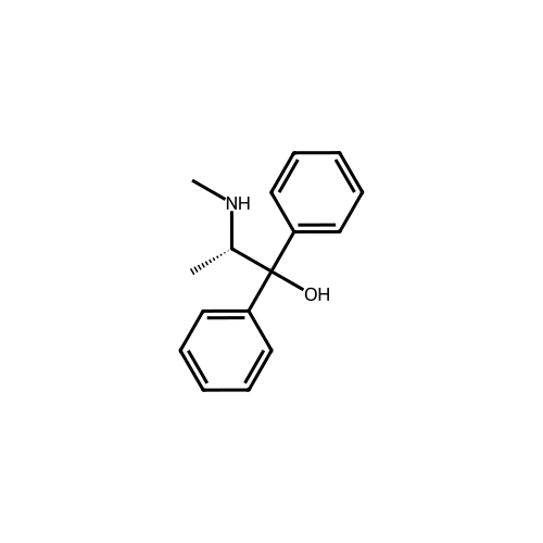 CN[C@@H](C)C(O)(c1ccccc1)c1ccccc1